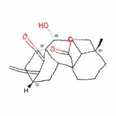 C=C1C(=O)[C@]23CC[C@H]1CC2C12CCC[C@@](C)(COC1=O)C2C[C@H]3O